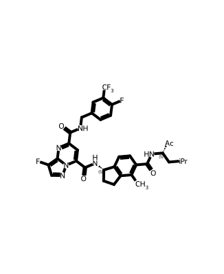 CC(=O)[C@H](CC(C)C)NC(=O)c1ccc2c(c1C)CC[C@@H]2NC(=O)c1cc(C(=O)NCc2ccc(F)c(C(F)(F)F)c2)nc2c(F)cnn12